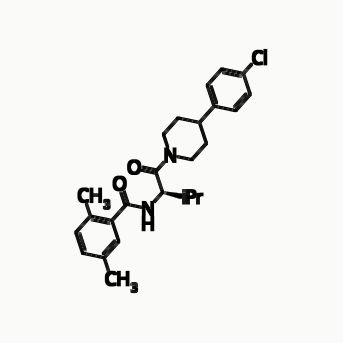 Cc1ccc(C)c(C(=O)N[C@@H](C(=O)N2CCC(c3ccc(Cl)cc3)CC2)C(C)C)c1